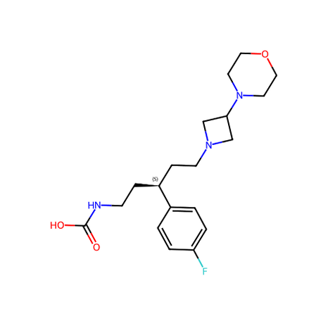 O=C(O)NCC[C@@H](CCN1CC(N2CCOCC2)C1)c1ccc(F)cc1